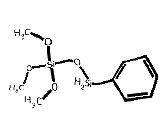 CO[Si](OC)(OC)O[SiH2]c1ccccc1